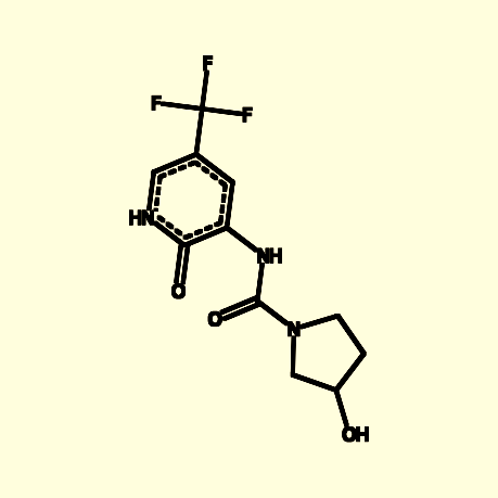 O=C(Nc1cc(C(F)(F)F)c[nH]c1=O)N1CCC(O)C1